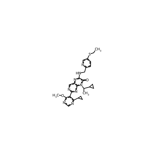 CCSc1ccc(CNc2nc3cnc(-c4c(OC)ncnc4C4CC4)nc3n(C(C)C3CC3)c2=O)nc1